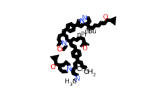 C=CC\C=C(/C=C(C)/C(=C\C=N/C)N1CC/C=C(\C(=O)C2CC2)CCC1)c1ccc(/C=C/C(C/C=C(\CCC)CC2COC2)C2C/C(=C\c3ccc(-c4cc5c(/C(=C\CC/C=C/C(=O)C6CC6)CCCC)ccnn5c4)cc3)CCC3COCCN32)cc1